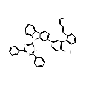 C/C=C\C=Cc1ccccc1-c1cc(-c2ccc3c4ccccc4n(-c4nc(-c5ccccc5)nc(-c5ccccc5)n4)c3c2)ccc1N